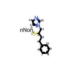 CCCCCCCCCSC(CCc1ccccc1)Cn1ccnc1